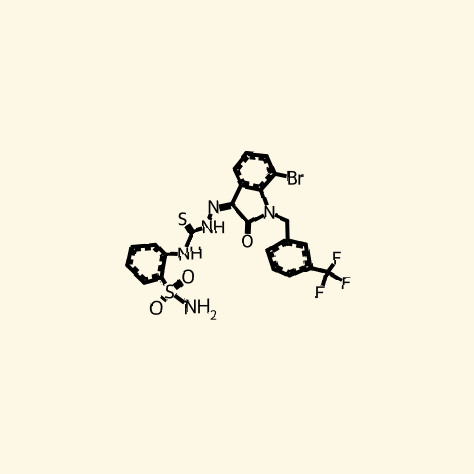 NS(=O)(=O)c1ccccc1NC(=S)NN=C1C(=O)N(Cc2cccc(C(F)(F)F)c2)c2c(Br)cccc21